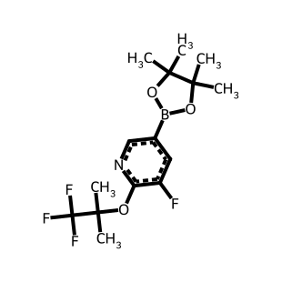 CC(C)(Oc1ncc(B2OC(C)(C)C(C)(C)O2)cc1F)C(F)(F)F